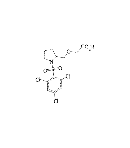 O=C(O)COCC1CCCN1S(=O)(=O)c1c(Cl)cc(Cl)cc1Cl